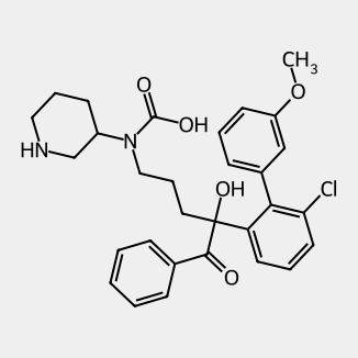 COc1cccc(-c2c(Cl)cccc2C(O)(CCCN(C(=O)O)C2CCCNC2)C(=O)c2ccccc2)c1